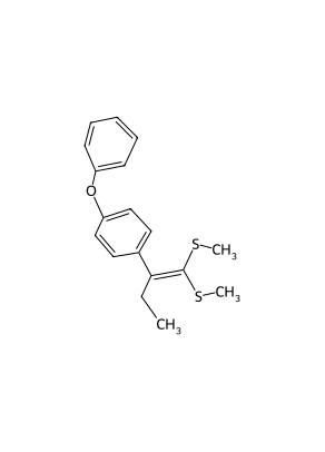 CCC(=C(SC)SC)c1ccc(Oc2ccccc2)cc1